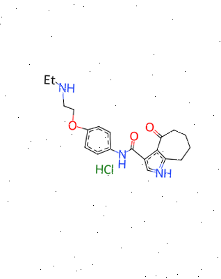 CCNCCOc1ccc(NC(=O)c2c[nH]c3c2C(=O)CCCC3)cc1.Cl